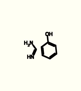 N=CN.Oc1ccccc1